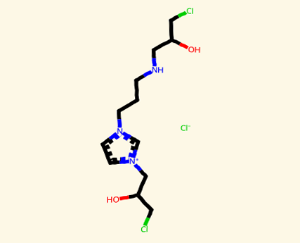 OC(CCl)CNCCCn1cc[n+](CC(O)CCl)c1.[Cl-]